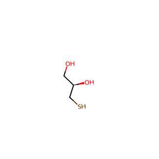 OC[C@@H](O)CS